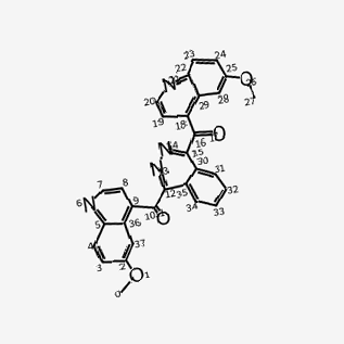 COc1ccc2nccc(C(=O)c3nnc(C(=O)c4ccnc5ccc(OC)cc45)c4ccccc34)c2c1